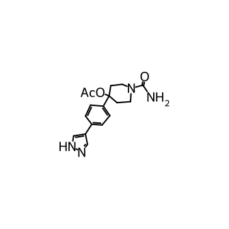 CC(=O)OC1(c2ccc(-c3cn[nH]c3)cc2)CCN(C(N)=O)CC1